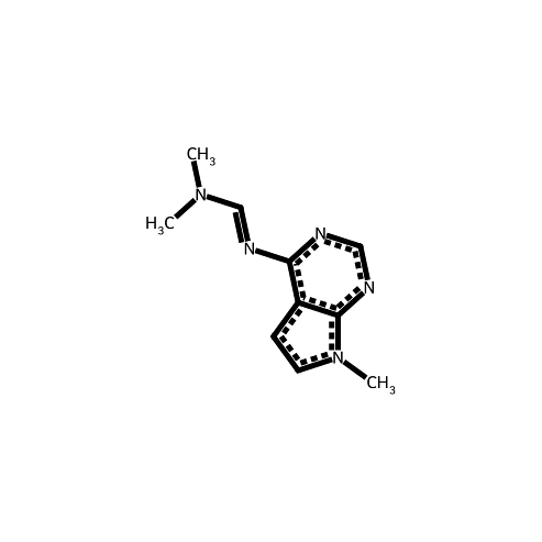 CN(C)/C=N/c1ncnc2c1ccn2C